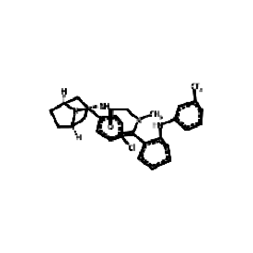 CN(CC(=O)N[C@@H]1C[C@H]2CC[C@@H](C1)N2Cc1ccc(Cl)cc1)C(=O)c1ccccc1Nc1cccc(C(F)(F)F)c1